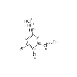 Cl.F.F.F.F.[S]c1cccc(Cl)c1Cl